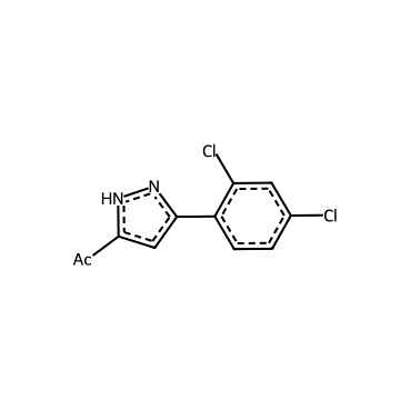 CC(=O)c1cc(-c2ccc(Cl)cc2Cl)n[nH]1